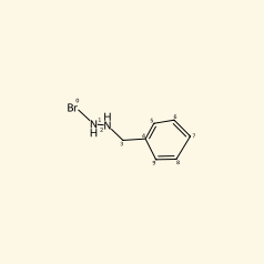 BrNNCc1ccccc1